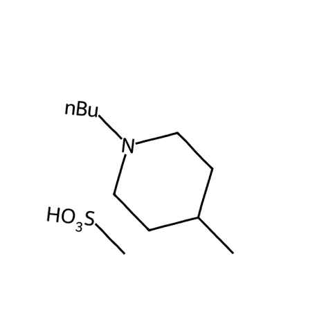 CCCCN1CCC(C)CC1.CS(=O)(=O)O